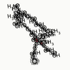 CC[C@@]1(O)C(=O)OCc2c1cc1n(c2=O)Cc2c-1nc1cc(F)c(C)c3c1c2[C@@H](NC(=O)COCNC(=O)CNC(=O)OCc1ccc(NC(=O)[C@H](CCCNC(N)=O)NC(=O)[C@@H](NC(=O)[C@@H](CCC(=O)O)NC(=O)CCOCCOCCNC(=O)CN(CCOCCOCCOCCNC(=O)COC2C#CCCCCC2)CC(=O)NCCOCCOCCC(=O)NCCCC(=O)O)C(C)C)cc1)CC3